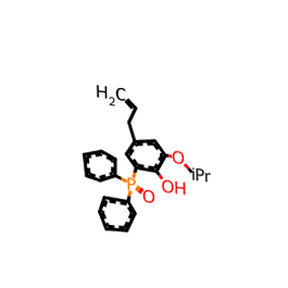 C=CCc1cc(OC(C)C)c(O)c(P(=O)(c2ccccc2)c2ccccc2)c1